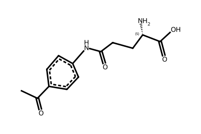 CC(=O)c1ccc(NC(=O)CC[C@H](N)C(=O)O)cc1